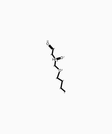 CCCCOC[PH](=O)CC=O